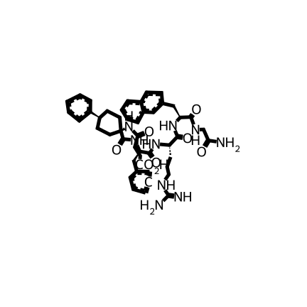 N=C(N)NCCC[C@H](NC(=O)[C@@H](Cc1ccccc1)NC(=O)[C@]1(NC(=O)CCC(=O)O)CC[C@@H](c2ccccc2)CC1)C(=O)N[C@@H](Cc1ccc2ccccc2c1)C(=O)NCC(N)=O